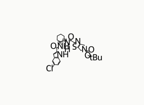 CC(C)(C)OC(=O)N1Cc2nc(C(=O)N[C@H]3CCCC[C@H]3NC(=O)c3cc4cc(Cl)ccc4[nH]3)sc2C1